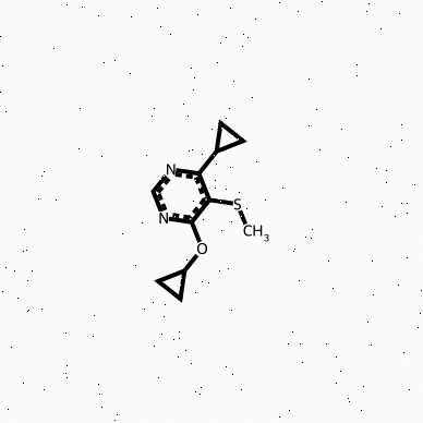 CSc1c(OC2CC2)ncnc1C1CC1